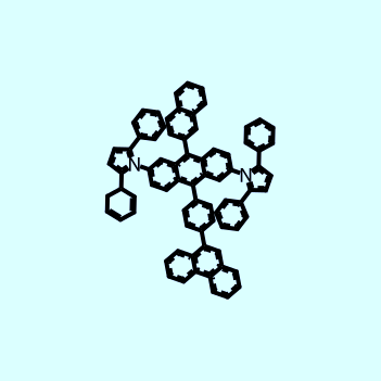 C1=CCC(c2ccc(-c3ccccc3)n2-c2ccc3c(-c4ccc(-c5cc6ccccc6c6ccccc56)cc4)c4cc(-n5c(-c6ccccc6)ccc5-c5ccccc5)ccc4c(-c4ccc5ccccc5c4)c3c2)C=C1